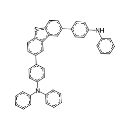 c1ccc(Nc2ccc(-c3ccc4sc5ccc(-c6ccc(N(c7ccccc7)c7ccccc7)cc6)cc5c4c3)cc2)cc1